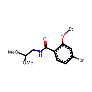 CCOc1cc(Br)ccc1C(=O)NCC(OC)OC